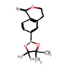 CC(=O)C1OCCc2cc(B3OC(C)(C)C(C)(C)O3)ccc21